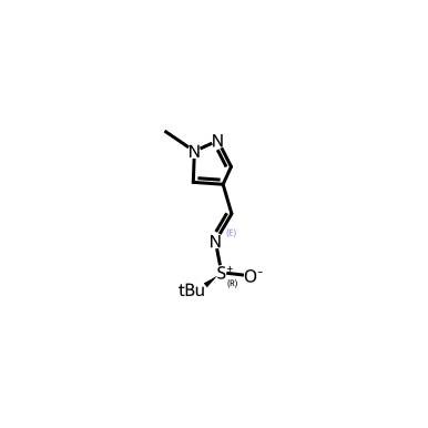 Cn1cc(/C=N/[S@@+]([O-])C(C)(C)C)cn1